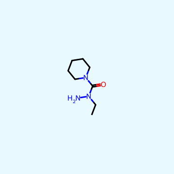 CCN(N)C(=O)N1CCCCC1